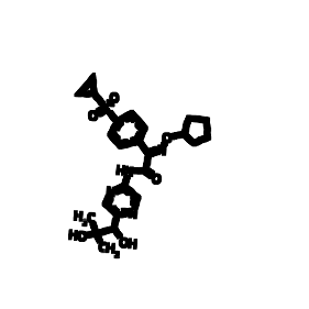 CC(C)(O)C(O)c1cnc(NC(=O)/C(=N/OC2CCCC2)c2ccc(S(=O)(=O)C3CC3)cc2)cn1